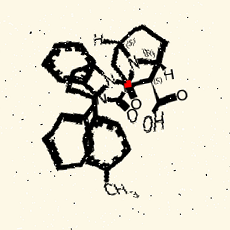 Cc1ccc(C2CCCN2C(=O)N2[C@H]3CC[C@@H]2[C@@H](C(=O)O)N(C(=O)N(C2=CC=CCC2)c2ccccc2)C3)cc1